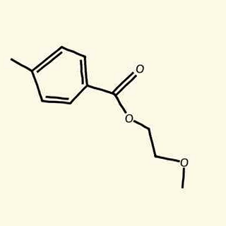 COCCOC(=O)c1ccc(C)cc1